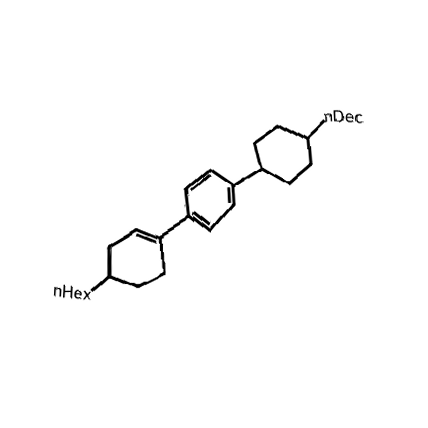 CCCCCCCCCCC1CCC(c2ccc(C3=CCC(CCCCCC)CC3)cc2)CC1